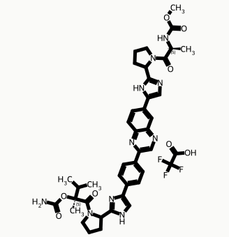 COC(=O)N[C@@H](C)C(=O)N1CCCC1c1ncc(-c2ccc3nc(-c4ccc(-c5c[nH]c(C6CCCN6C(=O)[C@@](C)(OC(N)=O)C(C)C)n5)cc4)cnc3c2)[nH]1.O=C(O)C(F)(F)F